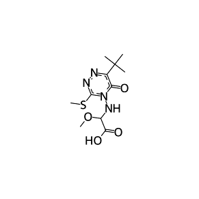 COC(Nn1c(SC)nnc(C(C)(C)C)c1=O)C(=O)O